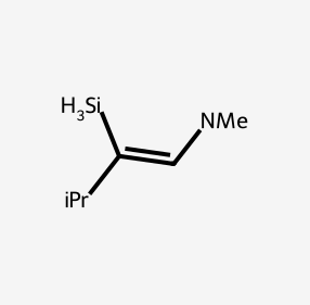 CNC=C([SiH3])C(C)C